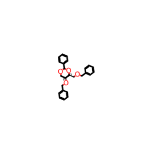 c1ccc(COC[C@@H]2OC(c3ccccc3)OC[C@H]2OCc2ccccc2)cc1